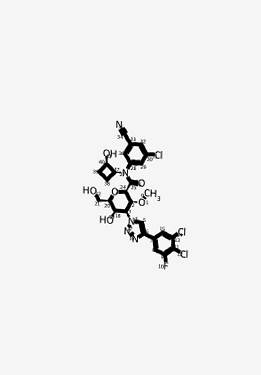 CO[C@@H]1[C@@H](n2cc(-c3cc(F)c(Cl)c(Cl)c3)nn2)[C@@H](O)[C@@H](CO)O[C@H]1C(=O)N(c1cc(Cl)cc(C#N)c1)[C@@H]1CC[C@H]1O